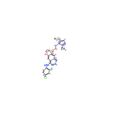 COc1cc2c(Nc3ccc(Cl)cc3F)ncnc2cc1OCCn1c(C)cnc1C